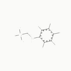 O[Si](O)(O)CNc1c(F)c(F)c(F)c(F)c1F